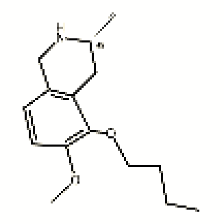 CCCCOc1c(OC)ccc2c1C[C@@H](C)NC2